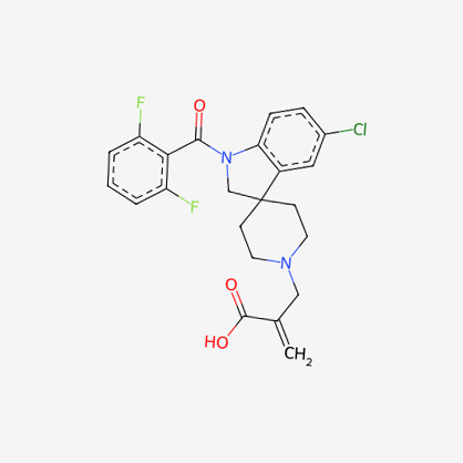 C=C(CN1CCC2(CC1)CN(C(=O)c1c(F)cccc1F)c1ccc(Cl)cc12)C(=O)O